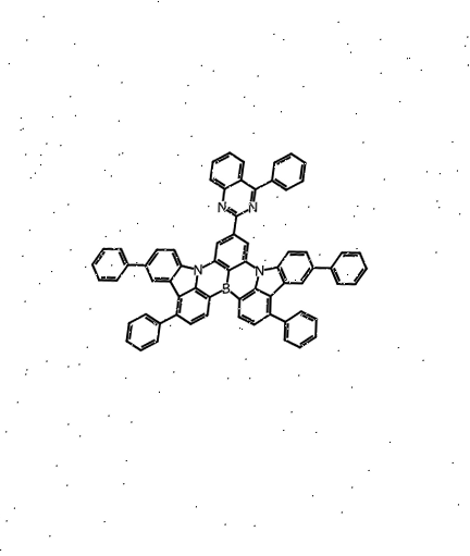 c1ccc(-c2ccc3c(c2)c2c(-c4ccccc4)ccc4c2n3-c2cc(-c3nc(-c5ccccc5)c5ccccc5n3)cc3c2B4c2ccc(-c4ccccc4)c4c5cc(-c6ccccc6)ccc5n-3c24)cc1